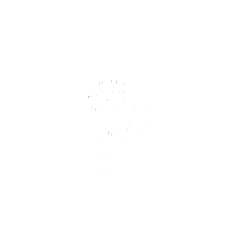 CC1(C)OB(c2cccc3ccc(-c4nc5ccc6ccccc6c5o4)cc23)OC1(C)C